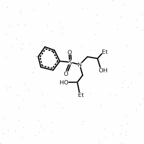 CCC(O)CN(CC(O)CC)S(=O)(=O)c1cc[c]cc1